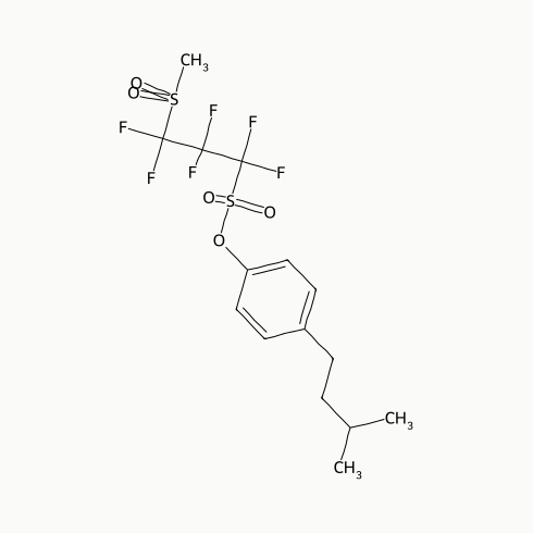 CC(C)CCc1ccc(OS(=O)(=O)C(F)(F)C(F)(F)C(F)(F)S(C)(=O)=O)cc1